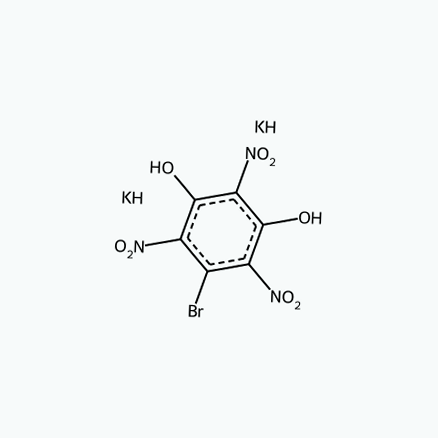 O=[N+]([O-])c1c(O)c([N+](=O)[O-])c(Br)c([N+](=O)[O-])c1O.[KH].[KH]